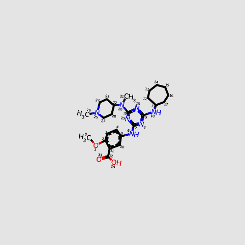 COc1ccc(Nc2nc(NC3CCCCCC3)nc(N(C)C3CCN(C)CC3)n2)cc1C(=O)O